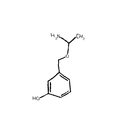 CC(N)OCc1cccc(O)c1